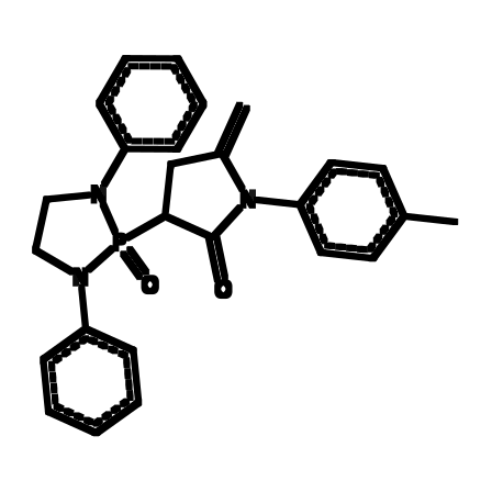 C=C1CC(P2(=O)N(c3ccccc3)CCN2c2ccccc2)C(=O)N1c1ccc(C)cc1